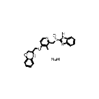 Cc1c(OCC2COc3ccccc3O2)ccnc1C[S+]([O-])c1nc2ccccc2[nH]1.[NaH]